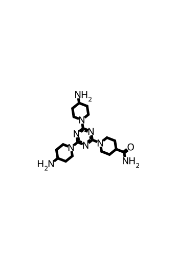 NC(=O)C1CCN(c2nc(N3CCC(N)CC3)nc(N3CCC(N)CC3)n2)CC1